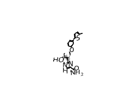 Cc1ccc(-c2cccc(OCC[C@H](c3nc(C(N)=O)c[nH]3)[C@H](C)O)c2)s1